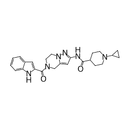 O=C(Nc1cc2n(n1)CCN(C(=O)c1cc3ccccc3[nH]1)C2)C1CCN(C2CC2)CC1